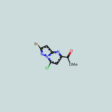 COC(=O)c1cc(Cl)n2nc(Br)cc2n1